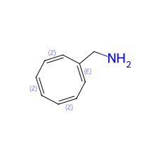 NCC1=C/C=C\C=C/C=C\1